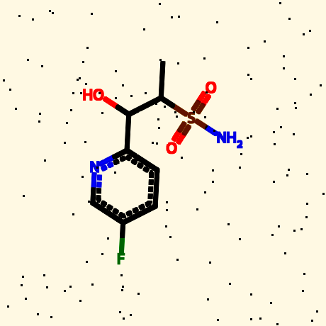 CC(C(O)c1ccc(F)cn1)S(N)(=O)=O